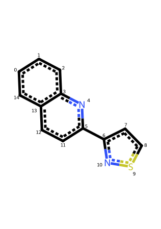 c1ccc2nc(-c3ccsn3)ccc2c1